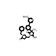 COc1cncc(-c2cccc(C3(C)CC(=N)N(CC4CC(=O)N(Cc5ccccc5)C4)C3=O)c2)c1